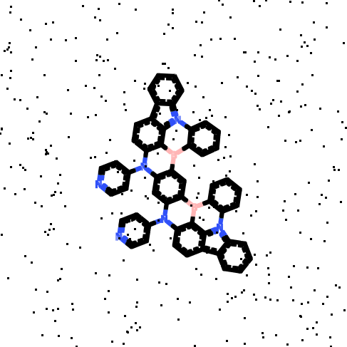 c1ccc2c(c1)B1c3cc4c(cc3N(c3ccncc3)c3ccc5c6ccccc6n-2c5c31)N(c1ccncc1)c1ccc2c3ccccc3n3c2c1B4c1ccccc1-3